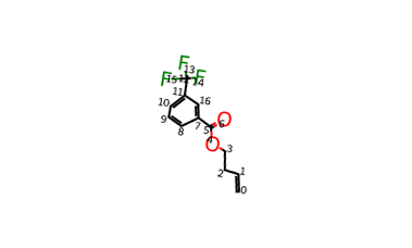 C=CCCOC(=O)c1cccc(C(F)(F)F)c1